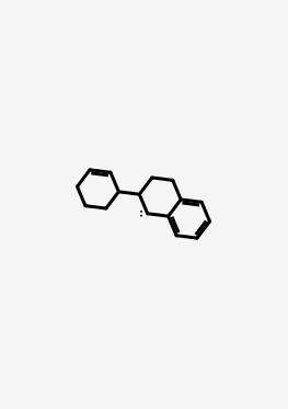 [C]1c2ccccc2CCC1C1C=CCCC1